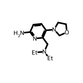 CCN(CC)Cc1nc(N)ccc1N1CCOC1